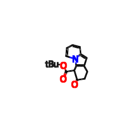 CC(C)(C)OC(=O)C1C(=O)CCc2cc3ccccn3c21